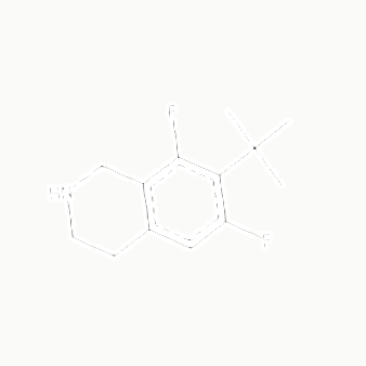 CC(C)(C)c1c(F)cc2c(c1F)CNCC2